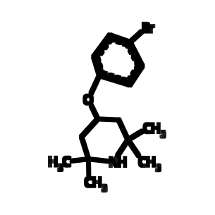 CC1(C)CC(Oc2ccc(Br)cc2)CC(C)(C)N1